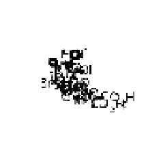 C[C@@H](C(=O)N[C@@H](CC(N)=O)C(=O)N[C@@H](CCN(C(=O)CO)[C@@H](c1cc(-c2cc(F)ccc2F)cn1Cc1ccccc1)C(C)(C)C)C(=O)NCCC(=O)N[C@H](CCC(=O)O)C(=O)O)N(C)C(=O)CNC(=O)CBr